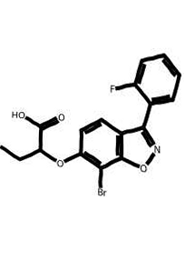 CCC(Oc1ccc2c(-c3ccccc3F)noc2c1Br)C(=O)O